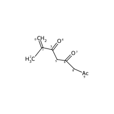 C=C(C)C(=O)CC(=O)CC(C)=O